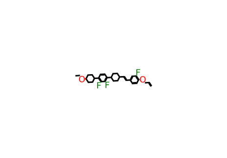 C=CCOc1ccc(/C=C/C2CCC(c3ccc(C4CCC(OCC)CC4)c(F)c3F)CC2)cc1F